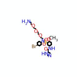 COc1ccc(NC(=O)c2cnc[nH]2)cc1S(=O)(=O)N(CCOCCOCCOCCN)c1ccc(Br)cc1